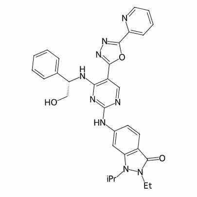 CCn1c(=O)c2ccc(Nc3ncc(-c4nnc(-c5ccccn5)o4)c(N[C@H](CO)c4ccccc4)n3)cc2n1C(C)C